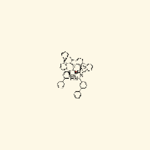 c1ccc(-c2cccc(C3=NC(n4c5ccccc5c5ccc6c7ccccc7n(-c7c(-c8ccccc8)cccc7-c7cccc(-c8ccccc8)c7)c6c54)=NC(c4cccc(-c5ccccc5)c4)N3)c2)cc1